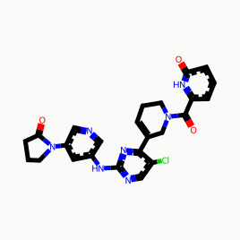 O=C(c1cccc(=O)[nH]1)N1CCC=C(c2nc(Nc3cncc(N4CCCC4=O)c3)ncc2Cl)C1